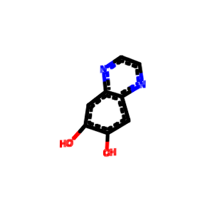 Oc1cc2nccnc2cc1O